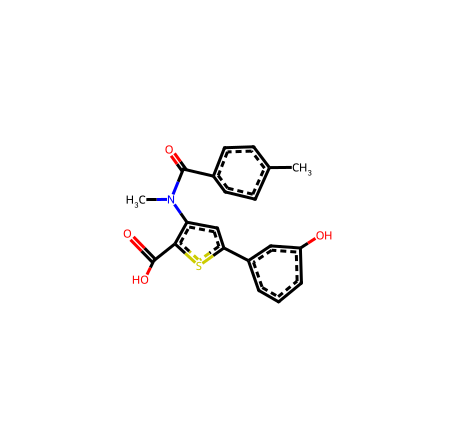 Cc1ccc(C(=O)N(C)c2cc(-c3cccc(O)c3)sc2C(=O)O)cc1